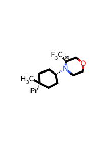 CC(C)[C@]1(C)CC[C@H](N2CCOC[C@@H]2C(F)(F)F)CC1